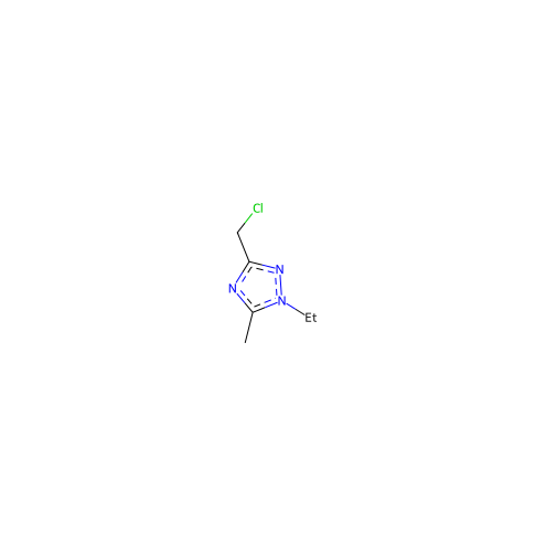 CCn1nc(CCl)nc1C